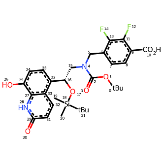 CC(C)(C)OC(=O)N(Cc1ccc(C(=O)O)c(F)c1F)C[C@H](O[Si](C)(C)C(C)(C)C)c1ccc(O)c2[nH]c(=O)ccc12